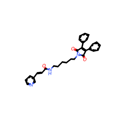 O=C(C=Cc1cccnc1)NCCCCCCN1C(=O)C(c2ccccc2)=C(c2ccccc2)C1=O